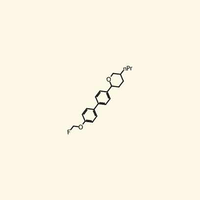 CCCC1CCC(c2ccc(-c3ccc(OCF)cc3)cc2)OC1